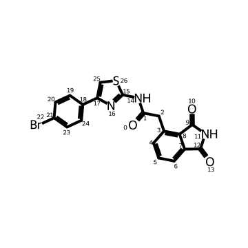 O=C(Cc1cccc2c1C(=O)NC2=O)Nc1nc(-c2ccc(Br)cc2)cs1